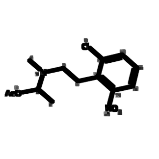 CC(=O)OC(C)N(C)CCc1c(Cl)cccc1[N+](=O)[O-]